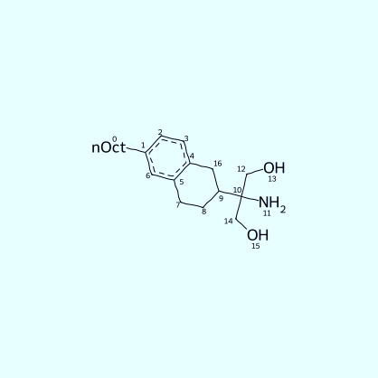 CCCCCCCCc1ccc2c(c1)CCC(C(N)(CO)CO)C2